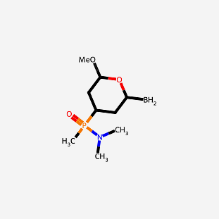 BC1CC(P(C)(=O)N(C)C)CC(OC)O1